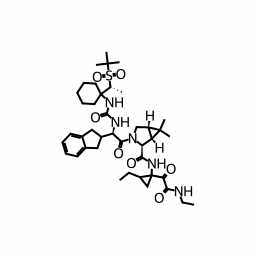 CCNC(=O)C(=O)C1(NC(=O)[C@@H]2[C@@H]3[C@H](CN2C(=O)[C@H](NC(=O)NC2([C@@H](C)S(=O)(=O)C(C)(C)C)CCCCC2)C2Cc4ccccc4C2)C3(C)C)CC1CC